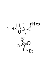 CCCCCCOC(C)(COS(=O)(=O)OCC)OCCCCCC